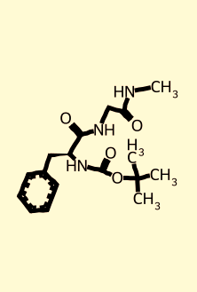 CNC(=O)CNC(=O)[C@H](Cc1ccccc1)NC(=O)OC(C)(C)C